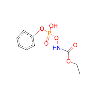 CCOC(=O)NOP(=O)(O)Oc1ccccc1